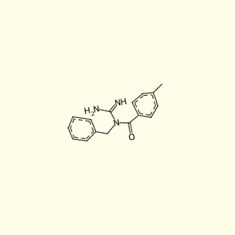 Cc1ccc(C(=O)N(Cc2ccccc2)C(=N)N)cc1